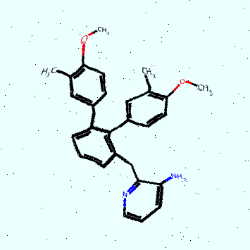 COc1ccc(-c2cccc(Cc3ncccc3N)c2-c2ccc(OC)c(C)c2)cc1C